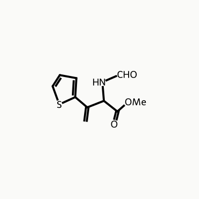 C=C(c1cccs1)C(NC=O)C(=O)OC